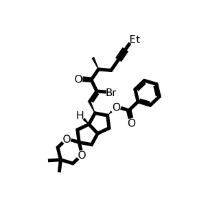 CCC#CC[C@H](C)C(=O)/C(Br)=C/[C@H]1[C@H](OC(=O)c2ccccc2)CC2CC3(C[C@@H]21)OCC(C)(C)CO3